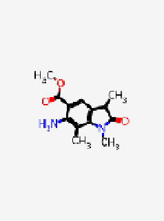 COC(=O)c1cc2c(c(C)c1N)N(C)C(=O)C2C